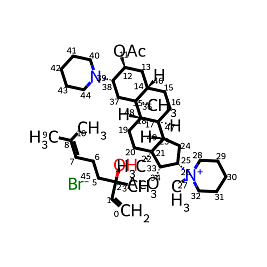 C=CC(C)(O)CCC=C(C)C.CC(=O)O[C@H]1C[C@@H]2CC[C@@H]3[C@H](CC[C@@]4(C)[C@H]3C[C@H]([N+]3(C)CCCCC3)[C@@H]4OC(C)=O)[C@@]2(C)C[C@@H]1N1CCCCC1.[Br-]